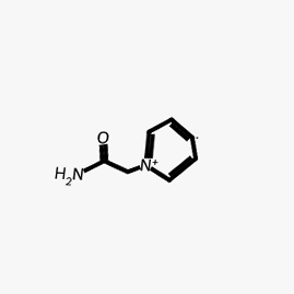 NC(=O)C[n+]1cc[c]cc1